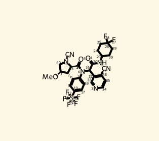 CO[C@@H]1C[C@H](C(=O)N(c2ccc(S(F)(F)(F)(F)F)cc2)C(C(=O)NC2CCC(F)(F)CC2)c2cnccc2C#N)N(C#N)C1